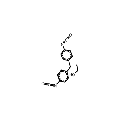 CCO.O=C=Nc1ccc(Cc2ccc(N=C=O)cc2)cc1